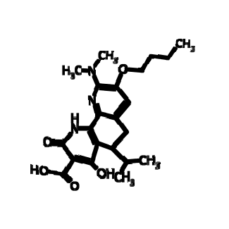 CCCCOc1cc2c(nc1N(C)C)-c1[nH]c(=O)c(C(=O)O)c(O)c1C(C(C)C)C2